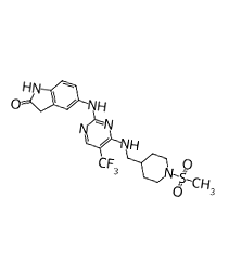 CS(=O)(=O)N1CCC(CNc2nc(Nc3ccc4c(c3)CC(=O)N4)ncc2C(F)(F)F)CC1